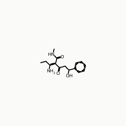 CCC(N)=C(C(=O)CC(O)c1ccccc1)C(=O)NC